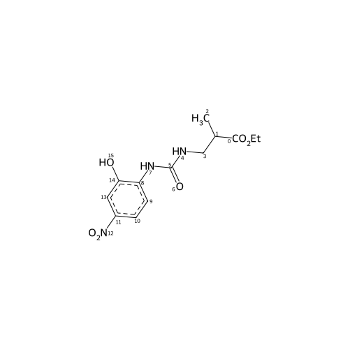 CCOC(=O)C(C)CNC(=O)Nc1ccc([N+](=O)[O-])cc1O